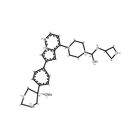 CO[C@@]1(c2ccc(-c3cc4c(N5CCN(C(O)OC6COC6)CC5)ccnn4c3)cc2)CCCNC1